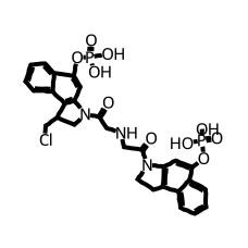 O=C(CNCC(=O)N1CC(CCl)c2c1cc(OP(=O)(O)O)c1ccccc21)N1CCc2c1cc(OP(=O)(O)O)c1ccccc21